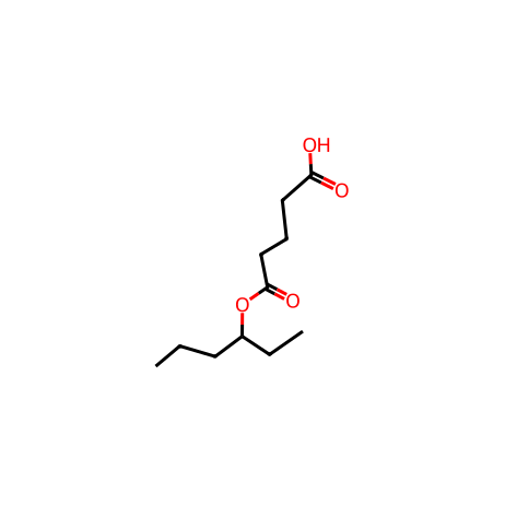 CCCC(CC)OC(=O)CCCC(=O)O